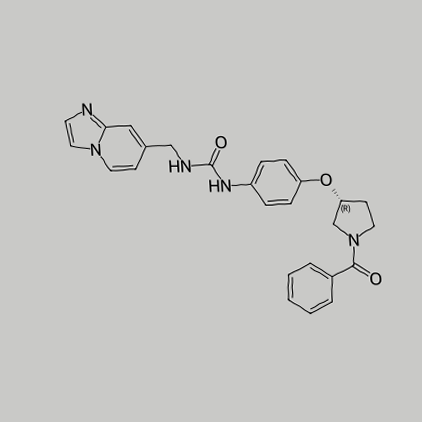 O=C(NCc1ccn2ccnc2c1)Nc1ccc(O[C@@H]2CCN(C(=O)c3ccccc3)C2)cc1